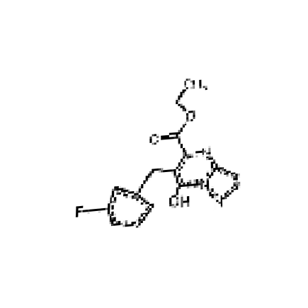 CCOC(=O)c1nc2ccnn2c(O)c1Cc1cccc(F)c1